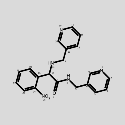 O=C(NCc1cccnc1)C(NCc1cccnc1)c1ccccc1[N+](=O)[O-]